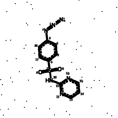 [N-]=[N+]=Nc1ccc(S(=O)(=O)Nc2ncccn2)cc1